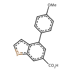 COc1ccc(-c2cc(C(=O)O)cc3sccc23)cc1